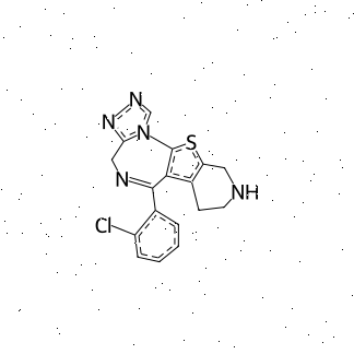 Clc1ccccc1C1=NCc2nncn2-c2sc3c(c21)CCNC3